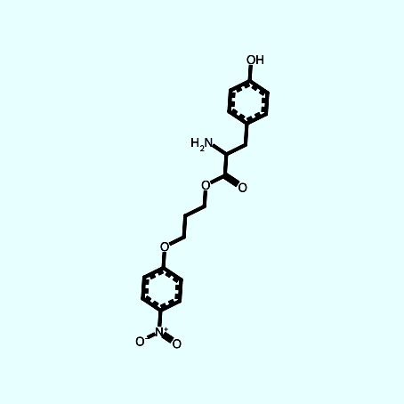 NC(Cc1ccc(O)cc1)C(=O)OCCCOc1ccc([N+](=O)[O-])cc1